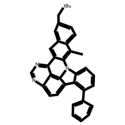 Cc1c2ccc(CC(C)(C)C)cc2cc2c3ncnc4ccc5c6c(-c7ccccc7)cccc6n(c12)c5c43